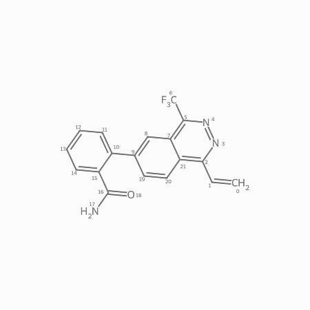 C=Cc1nnc(C(F)(F)F)c2cc(-c3ccccc3C(N)=O)ccc12